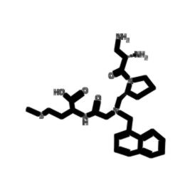 CSCCC(NC(=O)CN(Cc1cccc2ccccc12)C[C@@H]1CCCN1C(=O)[C@@H](N)CN)C(=O)O